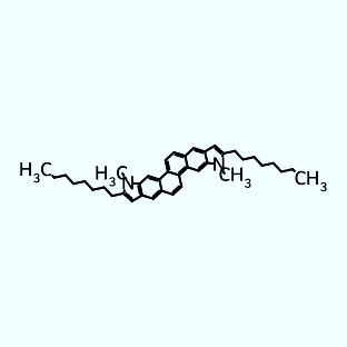 CCCCCCCCc1cc2cc3ccc4c5cc6c(cc(CCCCCCCC)n6C)cc5ccc4c3cc2n1C